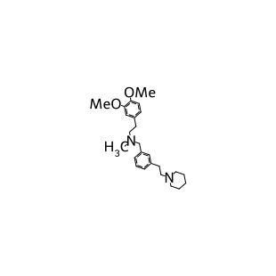 COc1ccc(CCN(C)Cc2cccc(CCN3CCCCC3)c2)cc1OC